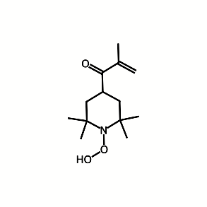 C=C(C)C(=O)C1CC(C)(C)N(OO)C(C)(C)C1